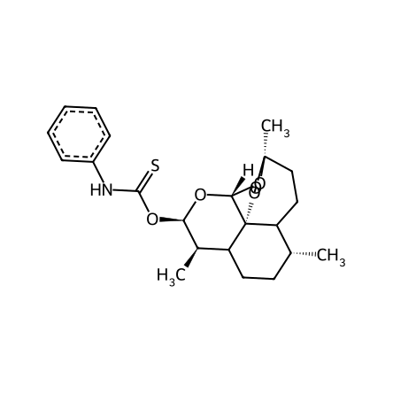 C[C@@H]1CCC2[C@@H](C)[C@@H](OC(=S)Nc3ccccc3)O[C@@H]3O[C@]4(C)CCC1[C@@]23OO4